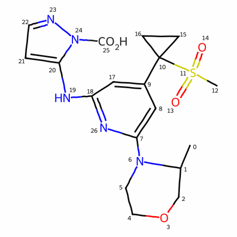 CC1COCCN1c1cc(C2(S(C)(=O)=O)CC2)cc(Nc2ccnn2C(=O)O)n1